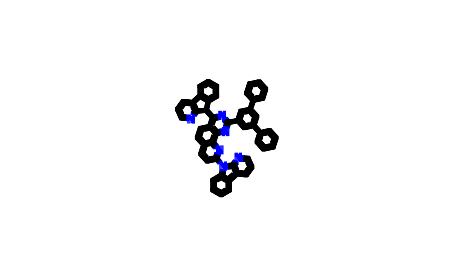 c1ccc(-c2cc(-c3ccccc3)cc(-c3nc(C4c5ccccc5-c5cccnc54)c4ccc5ccc(-n6c7ccccc7c7cccnc76)nc5c4n3)c2)cc1